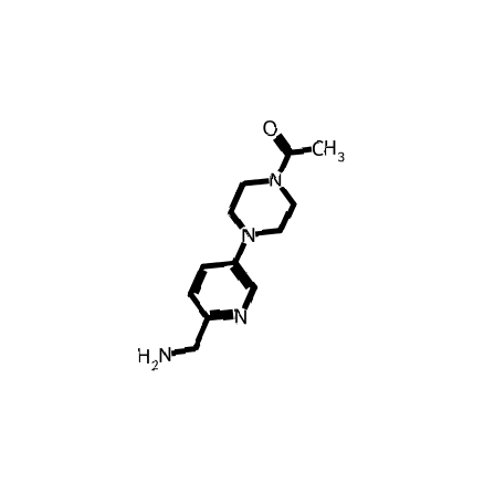 CC(=O)N1CCN(c2ccc(CN)nc2)CC1